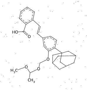 COC(C)OCOc1cc(C=Cc2ccccc2C(=O)O)ccc1C12CC3CC(CC(C3)C1)C2